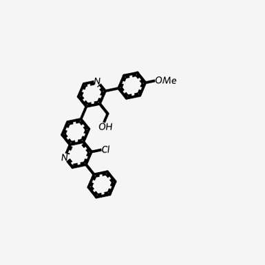 COc1ccc(-c2nccc(-c3ccc4ncc(-c5ccccc5)c(Cl)c4c3)c2CO)cc1